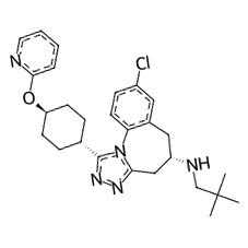 CC(C)(C)CN[C@H]1Cc2cc(Cl)ccc2-n2c(nnc2[C@H]2CC[C@H](Oc3ccccn3)CC2)C1